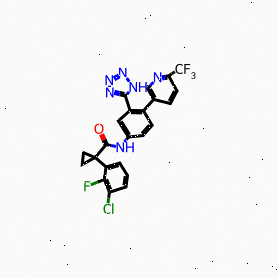 O=C(Nc1ccc(-c2ccc(C(F)(F)F)nc2)c(-c2nnn[nH]2)c1)C1(c2cccc(Cl)c2F)CC1